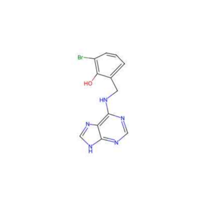 Oc1c(Br)cccc1CNc1ncnc2[nH]cnc12